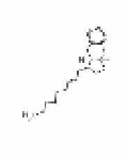 CCCCCCC=CCC1CC[C@@H]2Cc3ccccc3C[C@H]12